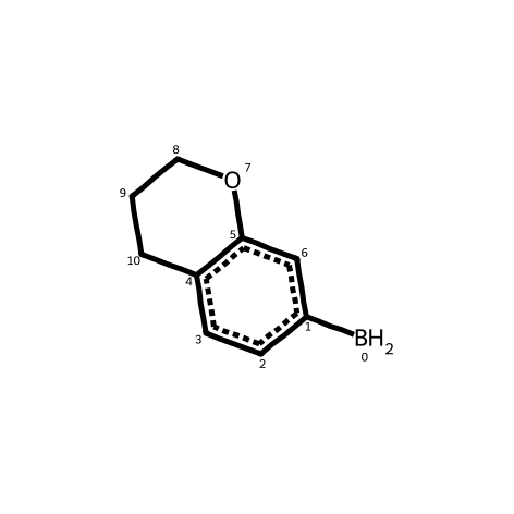 Bc1ccc2c(c1)OCCC2